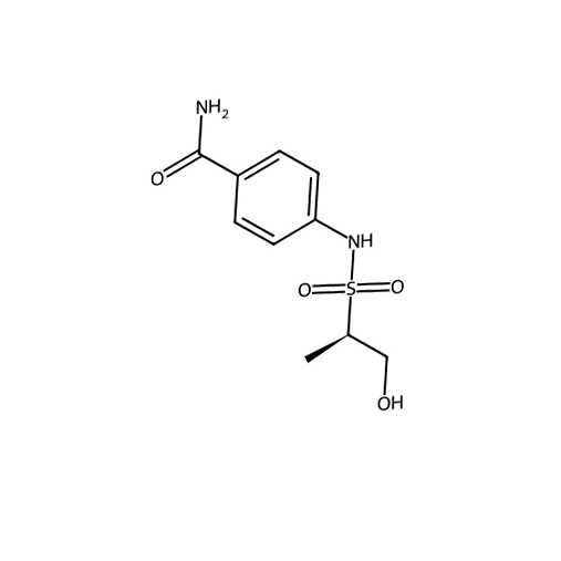 C[C@H](CO)S(=O)(=O)Nc1ccc(C(N)=O)cc1